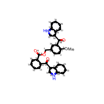 COc1ccc(COC(=O)c2ccccc2C(=O)c2c[nH]c3ccccc23)cc1C(=O)c1c[nH]c2ccccc12